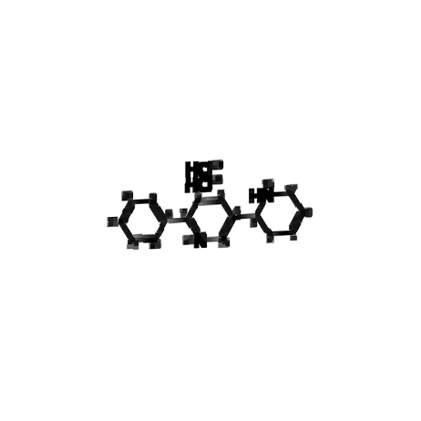 C1=CCC(c2ccc(-c3ccccc3)nc2)NC1.Cl.Cl